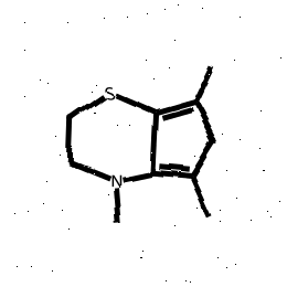 CC1=C2SCCN(C)C2=C(C)C1